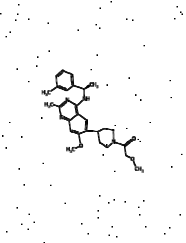 COCC(=O)N1CCC(c2cc3c(N[C@H](C)c4cccc(C)c4)nc(C)nc3cc2OC)CC1